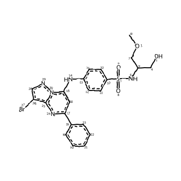 COCC(CO)NS(=O)(=O)c1ccc(Nc2cc(-c3ccccc3)nc3c(Br)cnn23)cc1